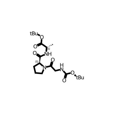 C[C@H](NC(=O)[C@@H]1CCCN1C(=O)CNC(=O)OC(C)(C)C)C(=O)OC(C)(C)C